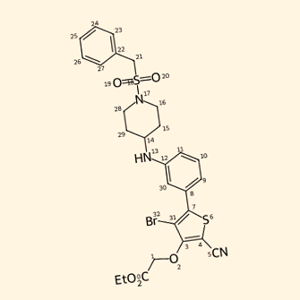 CCOC(=O)COc1c(C#N)sc(-c2cccc(NC3CCN(S(=O)(=O)Cc4ccccc4)CC3)c2)c1Br